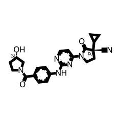 N#C[C@@]1(C2CC2)CCN(c2ccnc(Nc3ccc(C(=O)N4CC[C@H](O)C4)cc3)n2)C1=O